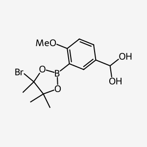 COc1ccc(C(O)O)cc1B1OC(C)(C)C(C)(Br)O1